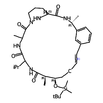 CC1NC(=O)C(C(C)C)NC(=O)[C@H](C)[C@H](O[Si](C)(C)C(C)(C)C)CC/C=C/c2cccc(c2)[C@@H](C)NC(=O)[C@@H]2CCCN(N2)C1=O